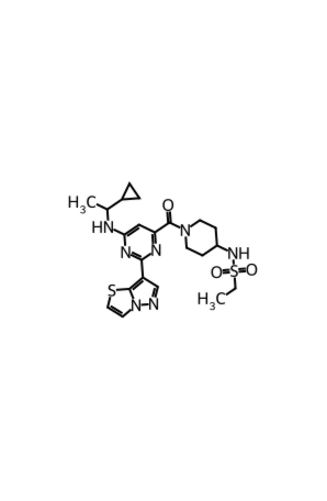 CCS(=O)(=O)NC1CCN(C(=O)c2cc(NC(C)C3CC3)nc(-c3cnn4ccsc34)n2)CC1